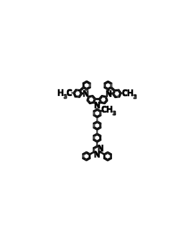 Cc1ccc2c(c1)c1ccccc1n2-c1ccc2c(c1)c1cc(-n3c4ccccc4c4cc(C)ccc43)ccc1n2-c1ccc(-c2ccc(-c3ccc(-c4cc(-c5ccccc5)nc(-c5ccccc5)n4)cc3)cc2)cc1C